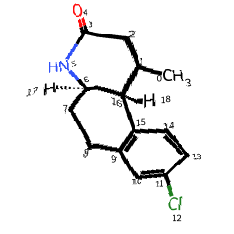 CC1CC(=O)N[C@@H]2CCc3cc(Cl)ccc3[C@@H]12